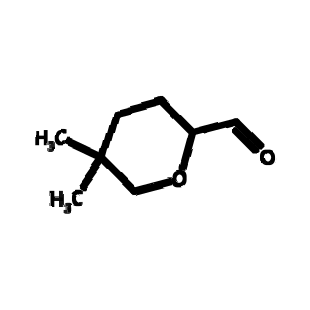 CC1(C)CCC(C=O)OC1